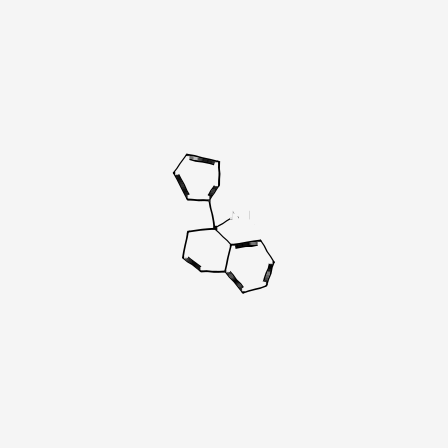 NC1(c2ccccc2)CC=Cc2ccccc21